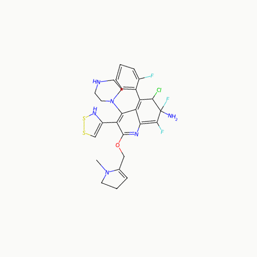 CN1CCC=C1COc1nc2c(c(N3CCNCC3)c1C1=CSSN1)=C(c1ccccc1F)C(Cl)C(N)(F)C=2F